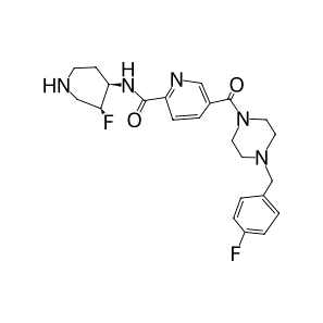 O=C(N[C@@H]1CCNC[C@@H]1F)c1ccc(C(=O)N2CCN(Cc3ccc(F)cc3)CC2)cn1